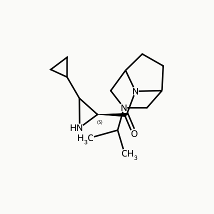 CC(C)N1CC2CCC(C1)N2C(=O)[C@H]1NC1C1CC1